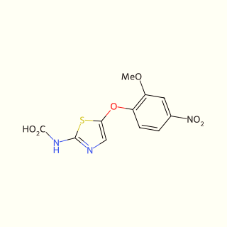 COc1cc([N+](=O)[O-])ccc1Oc1cnc(NC(=O)O)s1